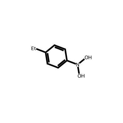 CCc1ccc(N(O)O)cc1